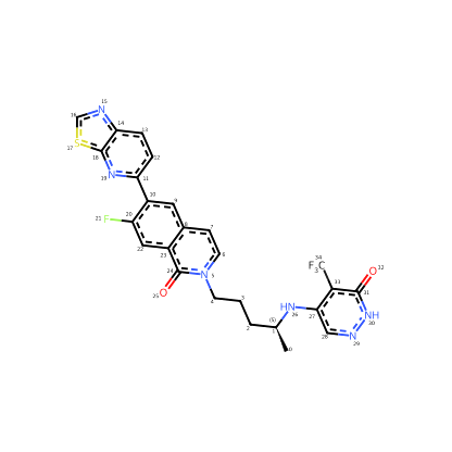 C[C@@H](CCCn1ccc2cc(-c3ccc4ncsc4n3)c(F)cc2c1=O)Nc1cn[nH]c(=O)c1C(F)(F)F